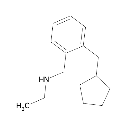 CCNCc1ccccc1CC1CCCC1